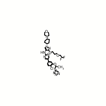 C[C@@H](Cn1cnnn1)Oc1cc(-c2cnc(Nc3cn([C@H]4CC[C@H](N5CCOCC5)CC4)nc3OCCCOCC(F)F)nc2)ccc1Cl